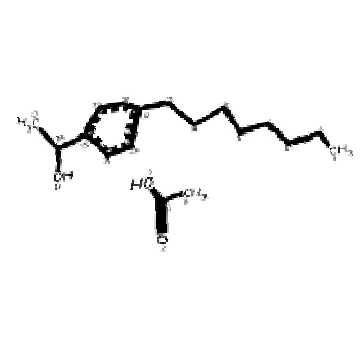 CC(=O)O.CCCCCCCCc1ccc(C(C)O)cc1